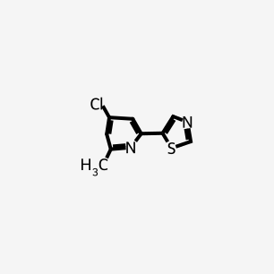 Cc1cc(Cl)cc(-c2cncs2)n1